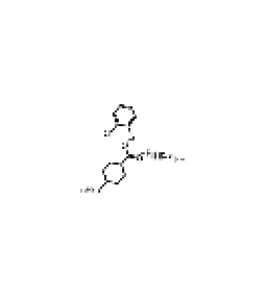 CCCCCCC1CCC(C(=O)OSc2ccccc2Cl)CC1.F.F.F.F.F